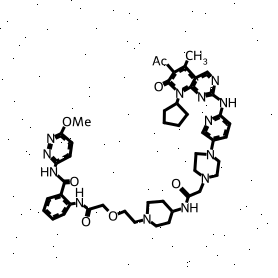 COc1ccc(NC(=O)c2ccccc2NC(=O)COCCN2CCC(NC(=O)CN3CCN(c4ccc(Nc5ncc6c(C)c(C(C)=O)c(=O)n(C7CCCC7)c6n5)nc4)CC3)CC2)nn1